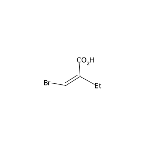 CCC(=CBr)C(=O)O